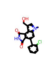 Cn1cc(CO)c2c3c(c(-c4ccccc4Cl)cc21)C(=O)NC3=O